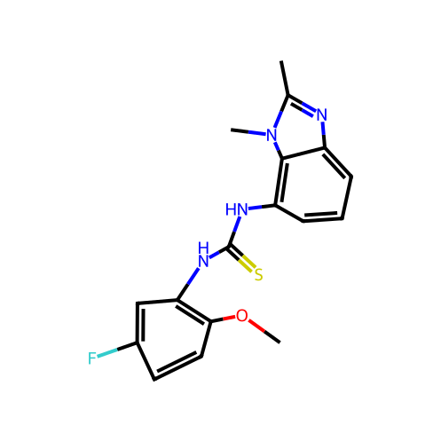 COc1ccc(F)cc1NC(=S)Nc1cccc2nc(C)n(C)c12